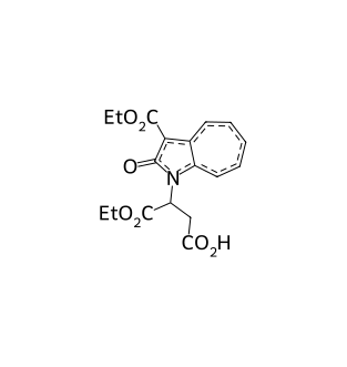 CCOC(=O)c1c2cccccc-2n(C(CC(=O)O)C(=O)OCC)c1=O